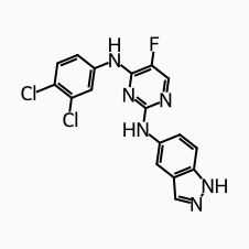 Fc1cnc(Nc2ccc3[nH]ncc3c2)nc1Nc1ccc(Cl)c(Cl)c1